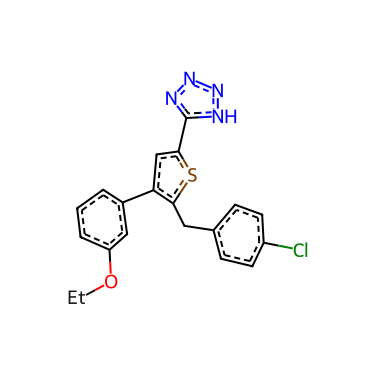 CCOc1cccc(-c2cc(-c3nnn[nH]3)sc2Cc2ccc(Cl)cc2)c1